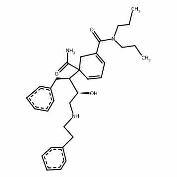 CCCN(CCC)C(=O)C1=CC=CC(C(N)=O)([C@H](Cc2ccccc2)[C@@H](O)CNCCc2ccccc2)C1